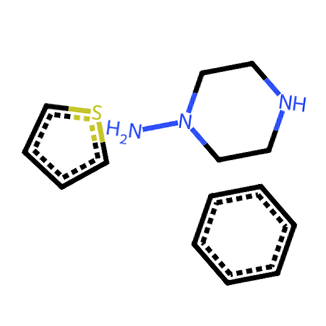 NN1CCNCC1.c1ccccc1.c1ccsc1